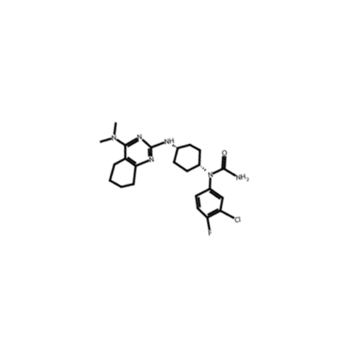 CN(C)c1nc(N[C@H]2CC[C@@H](N(C(N)=O)c3ccc(F)c(Cl)c3)CC2)nc2c1CCCC2